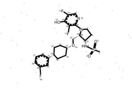 CS(=O)(=O)N[C@H]1CCN(c2ncc(F)c(O)c2F)[C@H]1CO[C@H]1CC[C@@H](c2cccc(F)c2)CC1